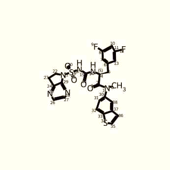 CN(C(=O)[C@H](Cc1cc(F)cc(F)c1)NC(=O)NS(=O)(=O)N1CCc2nccnc21)c1ccc2sccc2c1